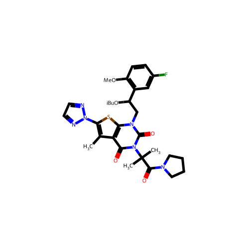 COc1ccc(F)cc1C(Cn1c(=O)n(C(C)(C)C(=O)N2CCCC2)c(=O)c2c(C)c(-n3nccn3)sc21)OCC(C)C